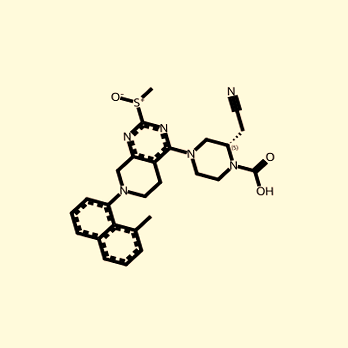 Cc1cccc2cccc(N3CCc4c(nc([S+](C)[O-])nc4N4CCN(C(=O)O)[C@@H](CC#N)C4)C3)c12